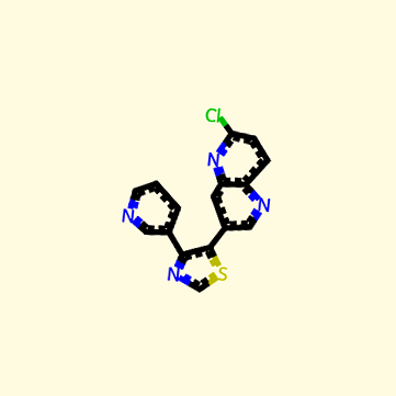 Clc1ccc2ncc(-c3scnc3-c3cccnc3)cc2n1